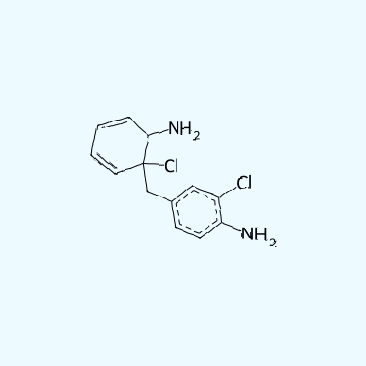 Nc1ccc(CC2(Cl)C=CC=CC2N)cc1Cl